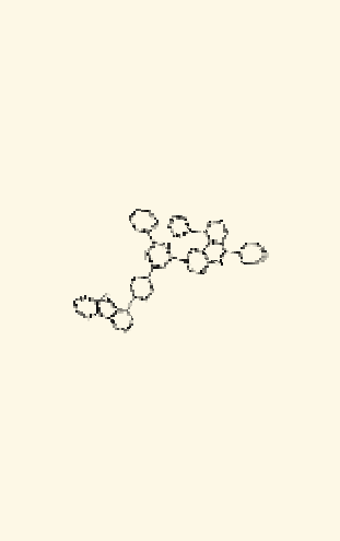 c1ccc(-c2nc(-c3ccc(-c4cccc5c4sc4ccccc45)cc3)cc(-c3ccc4nc(-c5ccccc5)c5cccc(-c6ccccc6)c5c4c3)n2)cc1